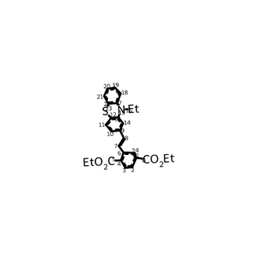 CCOC(=O)c1ccc(C(=O)OCC)c(C=Cc2ccc3c(c2)N(CC)c2ccccc2S3)c1